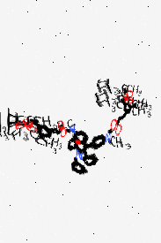 CCN(CCOC(=O)CCc1cc(C(C)(C)C)c(OC(=O)OC(C)(C)C)c(C(C)(C)C)c1)c1ccc(C(=C2C=CC(=[N+](CC)CCOC(=O)CCc3cc(C(C)(C)C)c(OC(=O)OC(C)(C)C)c(C(C)(C)C)c3)C=C2)c2c(-c3ccccc3)n(Cc3ccccc3)c3ccccc23)cc1